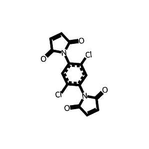 O=C1C=CC(=O)N1c1cc(Cl)c(N2C(=O)C=CC2=O)cc1Cl